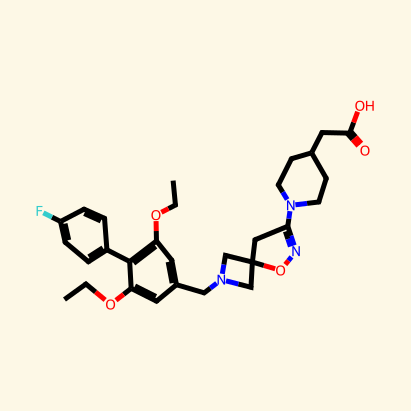 CCOc1cc(CN2CC3(CC(N4CCC(CC(=O)O)CC4)=NO3)C2)cc(OCC)c1-c1ccc(F)cc1